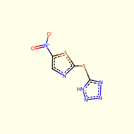 O=[N+]([O-])c1cnc(Sc2nnn[nH]2)s1